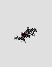 CC[C@@H](C(=O)N1C[C@H](O)C[C@H]1C(=O)N[C@@H](C)c1ccc(-c2cnco2)cc1)c1cc(O[C@@H]2C[C@@H](C(=O)NCc3ccc(-c4scnc4C)cc3)N(C(=O)[C@@H](c3nc(C)no3)C(C)C)C2)no1